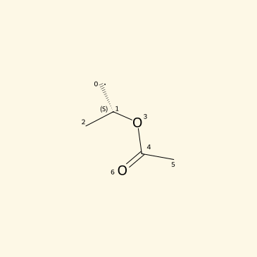 [CH2][C@@H](C)OC(C)=O